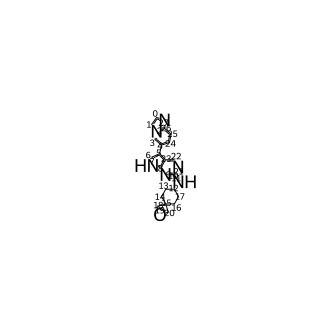 c1cn2cc(-c3c[nH]c4nc(NC5CCC6(CC5)COC6)ncc34)ccc2n1